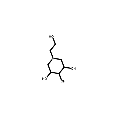 OCCN1CC(O)C(O)C(O)C1